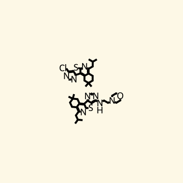 CC(C)Cc1nc2sc3c(Cl)ncnc3c2c2c1CCC(C)(C)C2.CC(C)Cc1nc2sc3c(NCCN4CCOCC4)ncnc3c2c2c1CCC(C)(C)C2